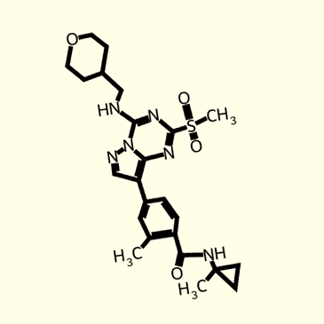 Cc1cc(-c2cnn3c(NCC4CCOCC4)nc(S(C)(=O)=O)nc23)ccc1C(=O)NC1(C)CC1